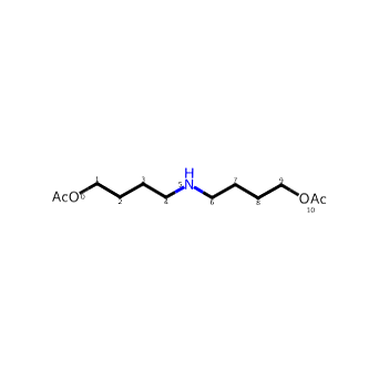 CC(=O)OCCCCNCCCCOC(C)=O